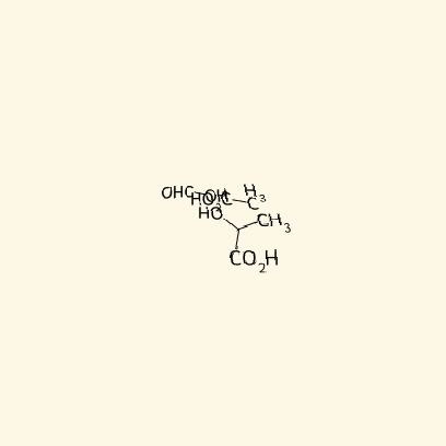 CC(=O)O.CC(O)C(=O)O.O=CO